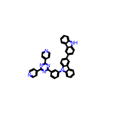 c1cc(-c2nc(-c3ccncc3)nc(-c3ccncc3)n2)cc(-n2c3ccccc3c3cc(-c4ccc5[nH]c6ccccc6c5c4)ccc32)c1